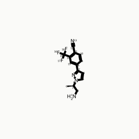 C[C@H](CN)n1ccc(-c2ccc(C#N)c(C(F)(F)F)c2)n1